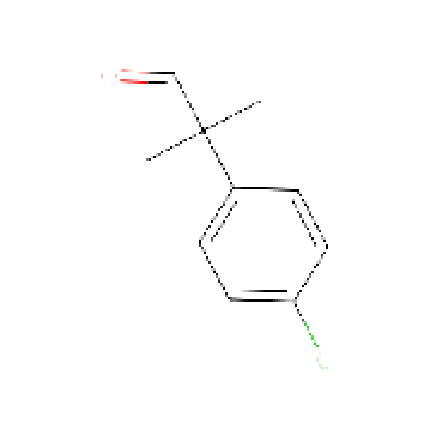 CC(C)([C]=O)c1ccc(Cl)cc1